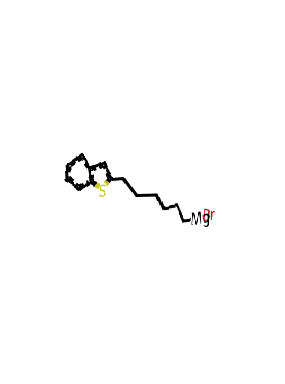 [Br][Mg][CH2]CCCCCc1cc2ccccc2s1